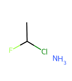 CC(F)Cl.N